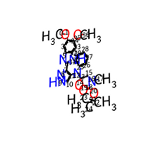 COc1cc2nc(-c3n[nH]cc3N(C(=O)CN(C)C(=O)OC(C)(C)C)c3ccccc3)[nH]c2cc1OC